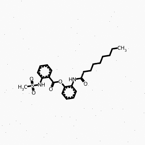 CCCCCCCCC(=O)Nc1ccccc1OC(=O)c1ccccc1NS(C)(=O)=O